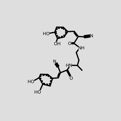 CC(CCNC(=O)C(C#N)=Cc1ccc(O)c(O)c1)NC(=O)C(C#N)=Cc1ccc(O)c(O)c1